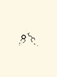 CC(CCC1CCN(C(=O)OC(C)C)CC1)Nc1ccc2c(c1)CCN(S(C)(=O)=O)C2